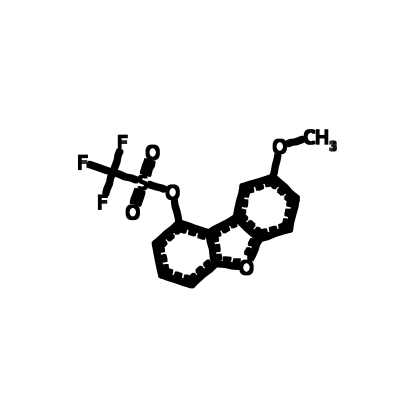 COc1ccc2oc3cccc(OS(=O)(=O)C(F)(F)F)c3c2c1